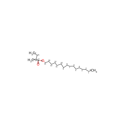 CCCCCCCCCCCCCCCCOC(=O)C(C)CC